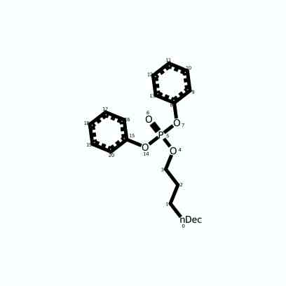 CCCCCCCCCCCCCOP(=O)(Oc1ccccc1)Oc1ccccc1